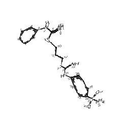 N=C(Nc1ccccc1)SCCCSC(=N)Nc1ccc(S(N)(=O)=O)cc1